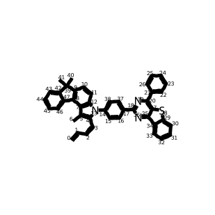 C=C/C=C\c1c(C)c2c3c(ccc2n1-c1ccc(-c2nc(-c4ccccc4)c4sc5ccccc5c4n2)cc1)C(C)(C)c1ccccc1-3